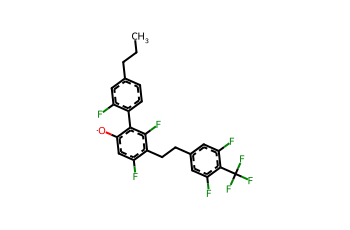 CCCc1ccc(-c2c([O])cc(F)c(CCc3cc(F)c(C(F)(F)F)c(F)c3)c2F)c(F)c1